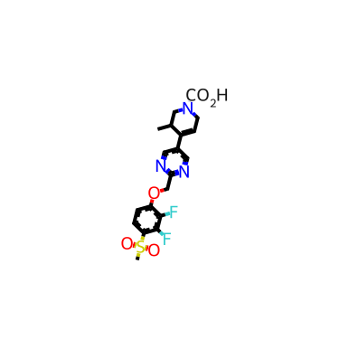 CC1CN(C(=O)O)CC=C1c1cnc(COc2ccc(S(C)(=O)=O)c(F)c2F)nc1